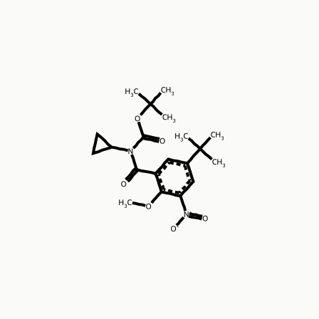 COc1c(C(=O)N(C(=O)OC(C)(C)C)C2CC2)cc(C(C)(C)C)cc1[N+](=O)[O-]